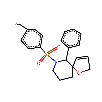 Cc1ccc(S(=O)(=O)N2CCCC3(C=CCO3)C2c2ccccc2)cc1